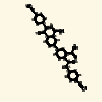 C#Cc1ccc(NC(=O)c2ccc(-c3ccc(C(=O)Nc4ccc(C#C)cc4)c(C(=O)O)c3)cc2C(=O)O)cc1